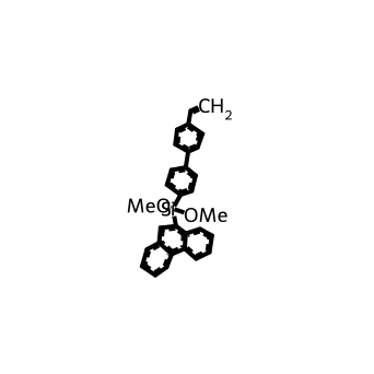 C=Cc1ccc(-c2ccc([Si](OC)(OC)c3cc4ccccc4c4ccccc34)cc2)cc1